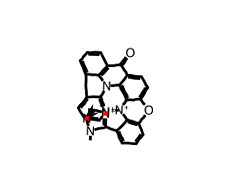 Cn1c2[n+](c3ccncc31)[N+]13c4c(cccc4-2)Oc2ccc4c(=O)c5cccc6c7ccc[n+]1c7n(c4c23)c56